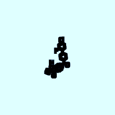 O=C(c1ccc(-c2ccc(Cl)cc2F)cc1)N1CCN(C(=O)C2(O)CCC2)CC1